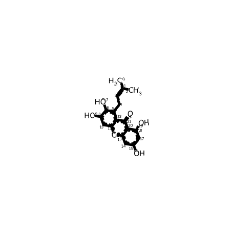 CC(C)=CCc1c(O)c(O)cc2oc3cc(O)cc(O)c3c(=O)c12